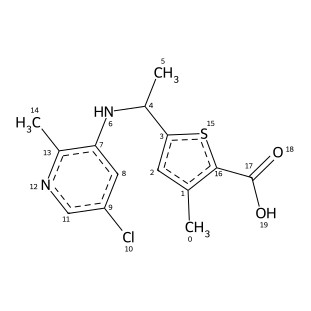 Cc1cc(C(C)Nc2cc(Cl)cnc2C)sc1C(=O)O